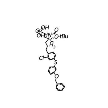 CC(C=CP(=O)(O)O)(CCCc1ccc(Sc2cccc(OCc3ccccc3)c2)cc1Cl)NC(=O)OC(C)(C)C